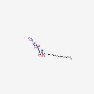 CCC=CCC=CCC=CCC=CCC=CCCCC(=O)NC(CCCCNC(=O)c1ccc(CCN2CCOCC2)nc1)C(=O)O